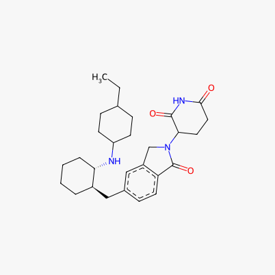 CCC1CCC(N[C@H]2CCCC[C@@H]2Cc2ccc3c(c2)CN(C2CCC(=O)NC2=O)C3=O)CC1